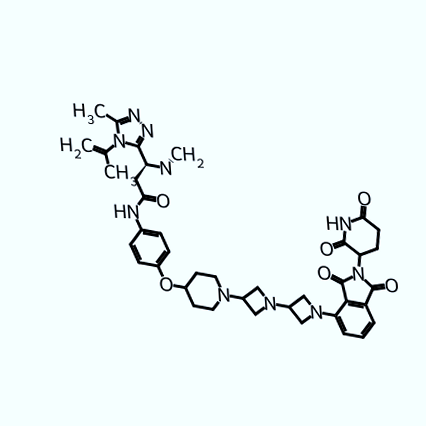 C=N[C@@H](CC(=O)Nc1ccc(OC2CCN(C3CN(C4CN(c5cccc6c5C(=O)N(C5CCC(=O)NC5=O)C6=O)C4)C3)CC2)cc1)c1nnc(C)n1C(=C)C